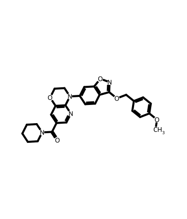 COc1ccc(COc2noc3cc(N4CCOc5cc(C(=O)N6CCCCC6)cnc54)ccc23)cc1